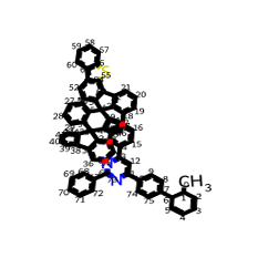 CC1C=CC=CC1c1ccc(-c2cc(-c3ccc(-c4cccc5c4C4(c6ccccc6C6(c7ccccc7-c7ccccc76)c6ccccc64)c4ccc6c(sc7ccccc76)c4-5)cc3)nc(-c3ccccc3)n2)cc1